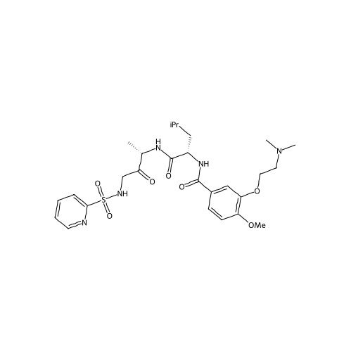 COc1ccc(C(=O)N[C@@H](CC(C)C)C(=O)N[C@@H](C)C(=O)CNS(=O)(=O)c2ccccn2)cc1OCCN(C)C